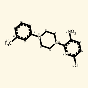 O=[N+]([O-])c1ccc(Cl)nc1N1CCN(c2cccc(C(F)(F)F)c2)CC1